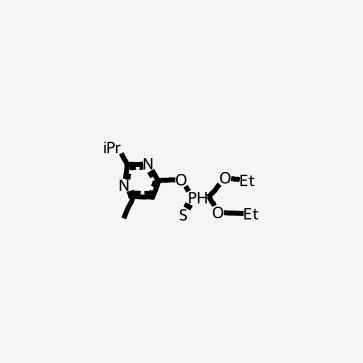 CCOC(OCC)[PH](=S)Oc1cc(C)nc(C(C)C)n1